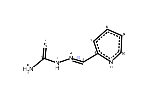 NC(=S)N/N=C/c1ccccn1